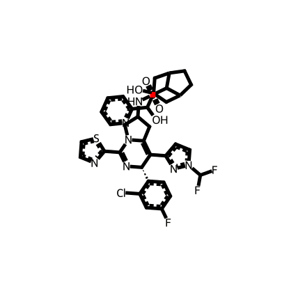 O=S(=O)(NC1CC2=C(c3ccn(C(F)F)n3)[C@H](c3ccc(F)cc3Cl)N=C(c3nccs3)N2C1)C1C2CCC1CC(O)(C(O)c1ccccn1)C2